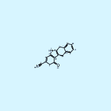 N#CC1=Cc2[nH]c3c(c2C(=O)C1)Cc1ccccc1C3